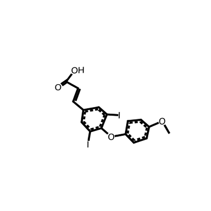 COc1ccc(Oc2c(I)cc(C=CC(=O)O)cc2I)cc1